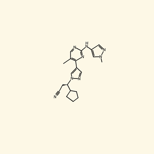 Cc1cnc(Nc2cnn(C)c2)nc1-c1cnn([C@H](CC#N)C2CCCC2)c1